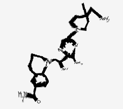 CC1(CN)CCN(c2cnc(C(=N)N3CCCc4cc(C(N)=O)ccc43)c(N)n2)CC1